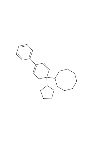 C1=CC(C2CCCCCCC2)(C2CCCC2)CC=C1c1ccccc1